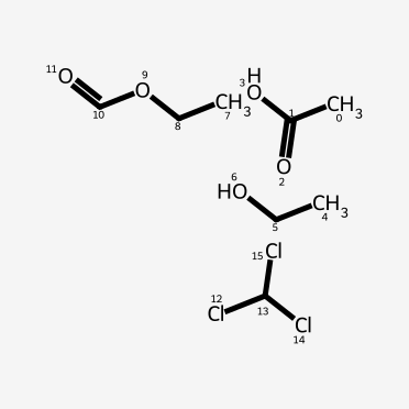 CC(=O)O.CCO.CCOC=O.ClC(Cl)Cl